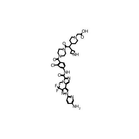 Cn1c(-c2cn(-c3ccc(N)cn3)nc2C(F)(F)F)cnc1C(=O)Nc1ccc(C(=O)N2CCN(C(=O)C(C3CCN(CC(=O)O)CC3)C3CNC3)CC2)c(Cl)c1